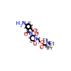 CCN(CC)[C@H](C(=O)OCCN1C(=O)CCC(N2C(=O)c3ccc(N)cc3C2=O)C1=O)C(C)C